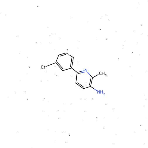 CCc1cccc(-c2ccc(N)c(C)n2)c1